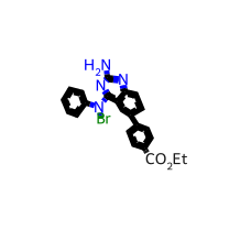 CCOC(=O)c1ccc(-c2ccc3nc(N)nc(N(Br)c4ccccc4)c3c2)cc1